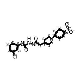 O=C(CC1=CCN(c2ccc([N+](=O)[O-])cc2)CC1)NNC(=O)Nc1cccc(Cl)c1